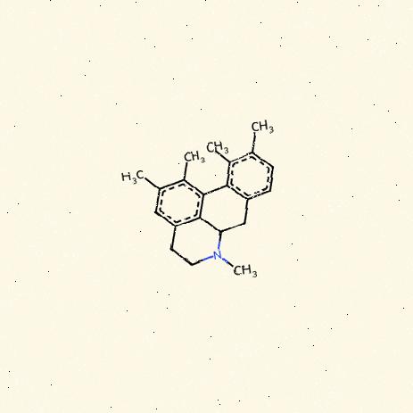 Cc1ccc2c(c1C)-c1c(C)c(C)cc3c1C(C2)N(C)CC3